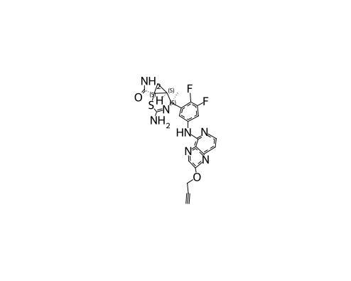 C#CCOc1cnc2c(Nc3cc(F)c(F)c([C@@]4(C)N=C(N)S[C@@]5(C(N)=O)C[C@H]54)c3)nccc2n1